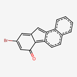 O=C1C=C(Br)C=C2C=c3c(ccc4ccccc34)=C12